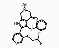 CC(=O)N1CC(=O)c2c([nH]c(-c3ccncc3OCC(F)F)c2Nc2ccccc2)C1